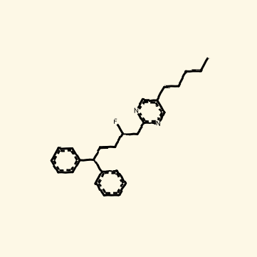 CCCCCc1cnc(CC(F)CCC(c2ccccc2)c2ccccc2)nc1